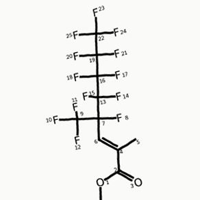 COC(=O)C(C)=CC(F)(C(F)(F)F)C(F)(F)C(F)(F)C(F)(F)C(F)(F)F